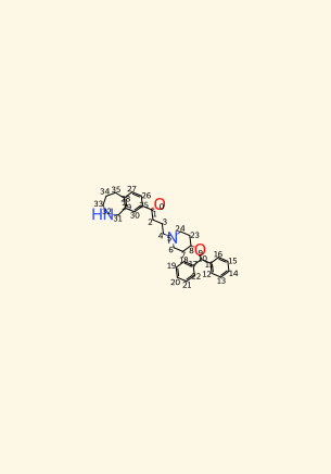 O=C(CCCN1CCC(OC(c2ccccc2)c2ccccc2)CC1)c1ccc2c(c1)CNCCC2